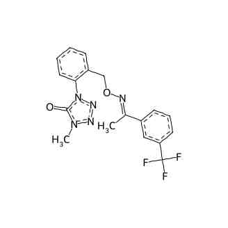 CC(=NOCc1ccccc1-n1nnn(C)c1=O)c1cccc(C(F)(F)F)c1